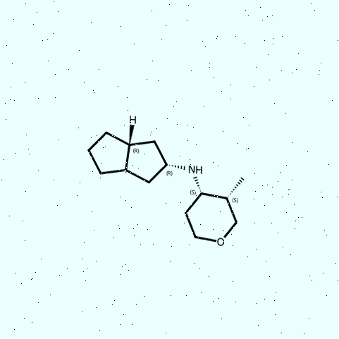 C[C@@H]1COCC[C@@H]1N[C@@H]1C[C]2CCC[C@@H]2C1